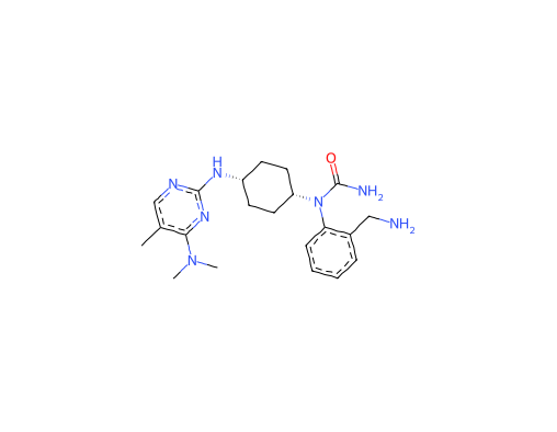 Cc1cnc(N[C@H]2CC[C@@H](N(C(N)=O)c3ccccc3CN)CC2)nc1N(C)C